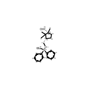 CC1(C)[C@@H](CO[Si](c2ccccc2)(c2ccccc2)C(C)(C)C)CC[C@@]1(C)C=O